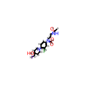 CC(=O)NCC1CN(c2ccc(N3CCC(O)(CI)CC3)c(F)c2)C(=O)O1